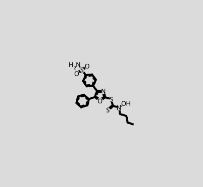 CCCCN(O)C(=S)Sc1nc(-c2ccc(S(N)(=O)=O)cc2)c(-c2ccccc2)o1